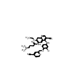 CCOc1cc2ncc(C#N)c(Nc3ccc(OCc4cc(C#N)ccn4)c(Cl)c3)c2cc1NC(=O)CCCN(C)C